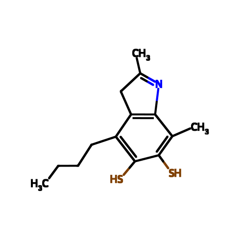 CCCCc1c(S)c(S)c(C)c2c1CC(C)=N2